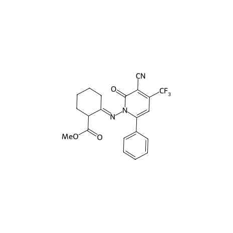 COC(=O)C1CCCC/C1=N\n1c(-c2ccccc2)cc(C(F)(F)F)c(C#N)c1=O